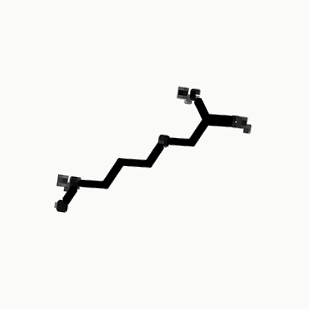 C=C(C)COCCC[SiH2][O]